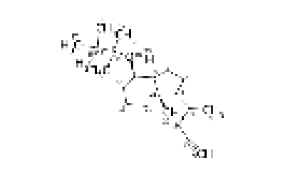 C#CCC(C)[C@H]1CC[C@@H]2[C@H](O[Si](C)(C)C(C)(C)C)CCC[C@@]12C